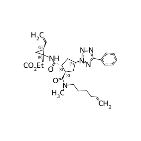 C=CCCCCN(C)C(=O)[C@@H]1C[C@H](n2nnc(-c3ccccc3)n2)C[C@H]1C(=O)N[C@]1(C(=O)OCC)C[C@H]1C=C